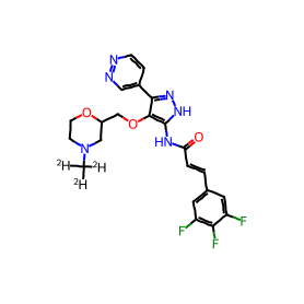 [2H]C([2H])([2H])N1CCOC(COc2c(-c3ccnnc3)n[nH]c2NC(=O)C=Cc2cc(F)c(F)c(F)c2)C1